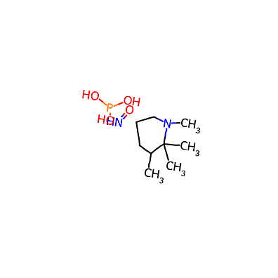 CC1CCCN(C)C1(C)C.N=O.OP(O)O